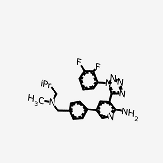 CC(C)CN(C)Cc1ccc(-c2cnc(N)c(-c3nnnn3-c3cccc(F)c3F)c2)cc1